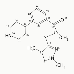 CC1CN(C)N=C1CN(C)C(=O)c1cccc(C2CCNCC2)c1